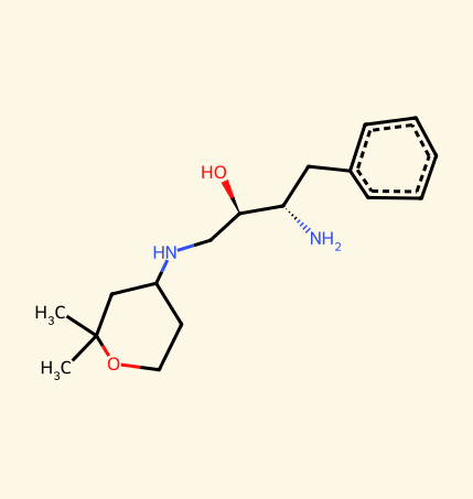 CC1(C)CC(NC[C@@H](O)[C@@H](N)Cc2ccccc2)CCO1